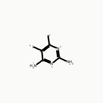 Cc1nc(N)nc(N)c1I